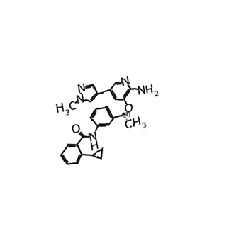 C[C@@H](Oc1cc(-c2cnn(C)c2)cnc1N)c1cccc(NC(=O)c2ccccc2C2CC2)c1